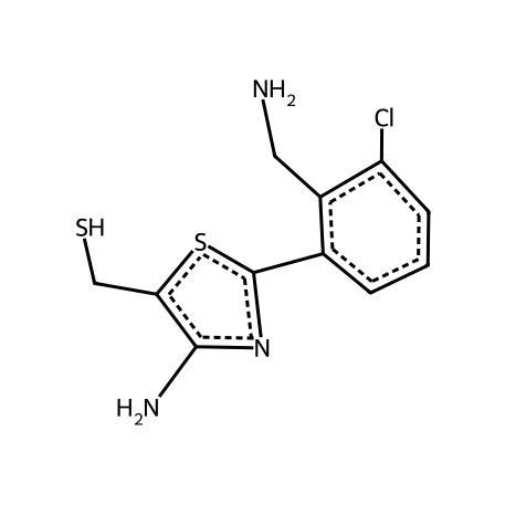 NCc1c(Cl)cccc1-c1nc(N)c(CS)s1